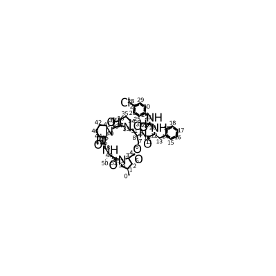 C[C@@H]1CC2C(=O)OC[C@H](NC(=O)[C@H](Cc3ccccc3)NC(=O)Nc3ccc(Cl)cc3)C(=O)N3CCC[C@H]3C(=O)N3CCCC[C@H]3C(=O)N[C@@H](C)C(=O)N2C1